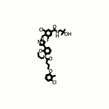 Cc1c(Cl)cccc1OCCCC(=O)N1CCCOc2c(-c3cnn(Cc4c(F)cc(C(=O)NCC(C)(C)O)cc4Cl)c3)cccc21